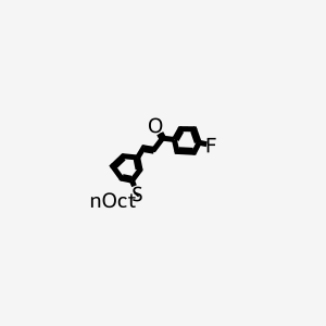 CCCCCCCCSc1cccc(C=CC(=O)c2ccc(F)cc2)c1